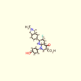 CN1Cc2ccc(-c3nc4c(cc3F)c(=O)c(C(=O)O)cn4-c3ccc(O)cc3)cc2C1